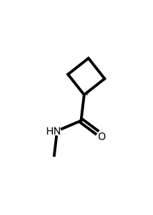 CNC(=O)[C]1CCC1